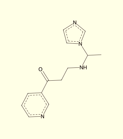 CC(NCCC(=O)c1cccnc1)n1ccnc1